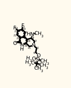 CN[C@H]1CN(CCO[Si](C)(C)C(C)(C)C)Cc2[nH]c(=O)c3cc(F)c(F)cc3c21